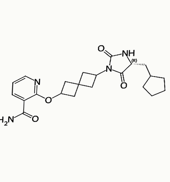 NC(=O)c1cccnc1OC1CC2(C1)CC(N1C(=O)N[C@H](CC3CCCC3)C1=O)C2